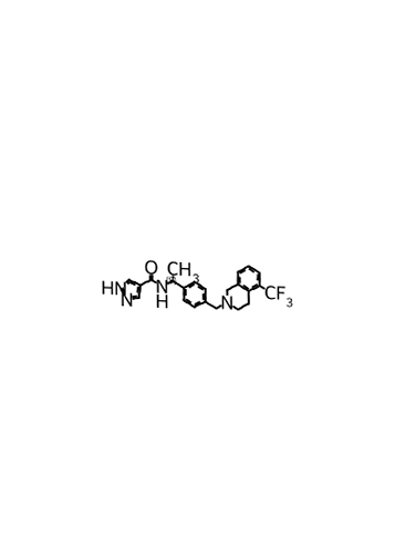 C[C@H](NC(=O)c1cn[nH]c1)c1ccc(CN2CCc3c(cccc3C(F)(F)F)C2)cc1